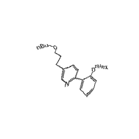 CCCCCCOc1ccccc1-c1ccc(CCCOCCCC)cn1